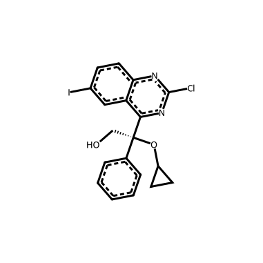 OC[C@](OC1CC1)(c1ccccc1)c1nc(Cl)nc2ccc(I)cc12